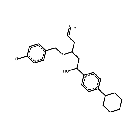 C=CCC(CC(O)c1ccc(C2CCCCC2)cc1)SCc1ccc(Cl)cc1